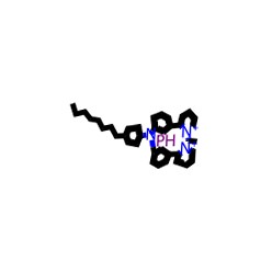 CCCCCCCCc1ccc(N2c3cccc4c3Pc3c(cccc32)-c2cccc[n+]2C(C)[n+]2ccccc2-4)cc1